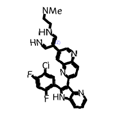 CNCCN/C=C(\C=N)c1cnc2ccc(-c3c(-c4cc(Cl)c(F)cc4F)[nH]c4cccnc34)nc2c1